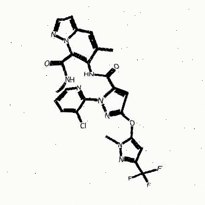 CNC(=O)c1c(NC(=O)c2cc(Oc3cc(C(F)(F)F)nn3C)nn2-c2ncccc2Cl)c(C)cc2ccnn12